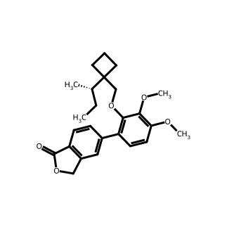 CC[C@H](C)C1(COc2c(-c3ccc4c(c3)COC4=O)ccc(OC)c2OC)CCC1